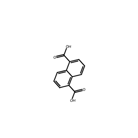 O=C(O)c1[c]ccc2c(C(=O)O)cccc12